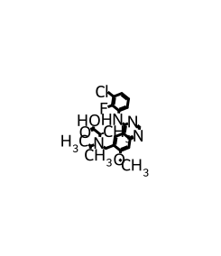 COc1cc2ncnc(Nc3cccc(Cl)c3F)c2cc1CN(C(C)C)[C@H](C)C(=O)O